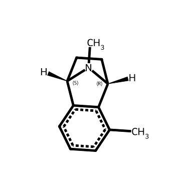 Cc1cccc2c1[C@H]1CC[C@@H]2N1C